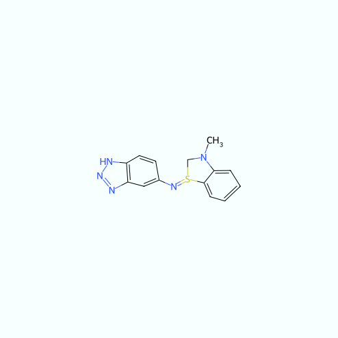 CN1CS(=Nc2ccc3[nH]nnc3c2)c2ccccc21